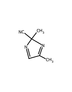 CC1=NC(C)(C#N)N=C1